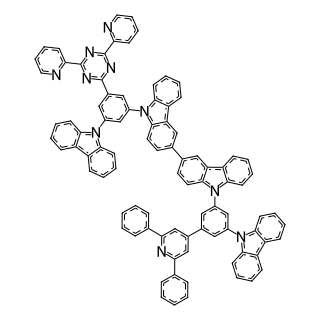 c1ccc(-c2cc(-c3cc(-n4c5ccccc5c5ccccc54)cc(-n4c5ccccc5c5cc(-c6ccc7c(c6)c6ccccc6n7-c6cc(-c7nc(-c8ccccn8)nc(-c8ccccn8)n7)cc(-n7c8ccccc8c8ccccc87)c6)ccc54)c3)cc(-c3ccccc3)n2)cc1